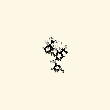 Cn1cc(Nc2ncc(C(F)(F)F)c(N[C@H]3[C@H]4CC[C@H](C4)[C@H]3C(N)=O)n2)cn1